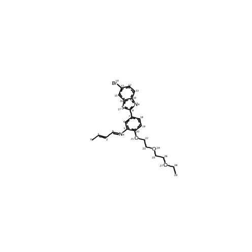 C/C=C/C=Nc1cc(-c2nc3ccc(Br)cc3s2)ccc1OCCOCCOCC